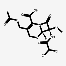 CO[C@@]1(NC(=O)C(Cl)Cl)C(=O)N2C(C(=O)O)=C(COC(C)=O)CS[C@H]21